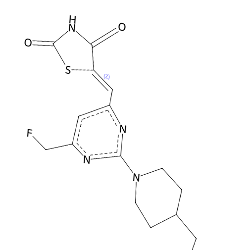 NCC1CCN(c2nc(/C=C3\SC(=O)NC3=O)cc(CF)n2)CC1